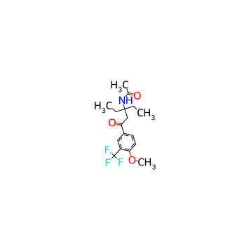 CCC(CC)(CC(=O)c1ccc(OC)c(C(F)(F)F)c1)NC(C)=O